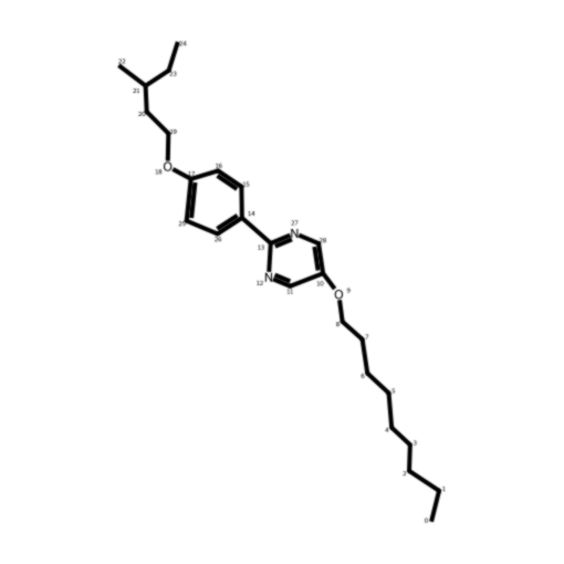 CCCCCCCCCOc1cnc(-c2ccc(OCCC(C)CC)cc2)nc1